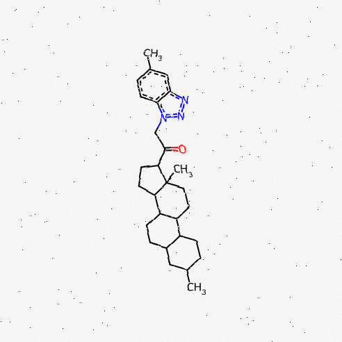 Cc1ccc2c(c1)nnn2CC(=O)C1CCC2C3CCC4CC(C)CCC4C3CCC12C